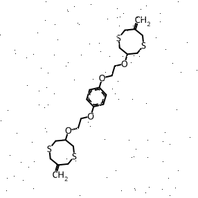 C=C1CSCC(OCCOc2ccc(OCCOC3CSCC(=C)CSC3)cc2)CSC1